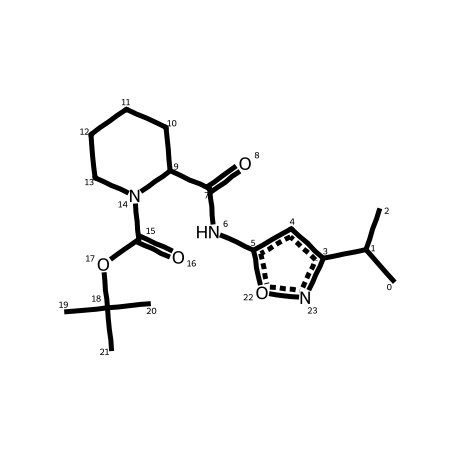 CC(C)c1cc(NC(=O)C2CCCCN2C(=O)OC(C)(C)C)on1